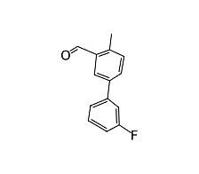 Cc1ccc(-c2cccc(F)c2)cc1C=O